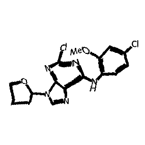 COc1cc(Cl)ccc1Nc1nc(Cl)nc2c1ncn2C1CCCO1